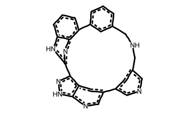 c1cc2cc(c1)-c1cccc3[nH]c(nc13)-c1n[nH]c3ncc(cc13)-c1cncc(c1)CNC2